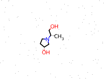 C[C@@H](CO)N1CC[C@@H](O)C1